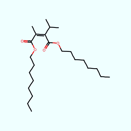 CCCCCCCCOC(=O)C(C)=C(C(=O)OCCCCCCCC)C(C)C